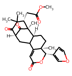 COC(=O)C[C@H]1C(C)(C)C(=O)[C@@H]2CC3C4=CC(=O)O[C@@H](c5ccoc5)[C@]4(C)CC[C@@H]3[C@@]1(C)C2=O